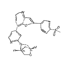 CS(=O)(=O)c1ccc(-c2cc3nccc(-c4ccnc(N5C[C@H]6C[C@@H]5CO6)c4)c3o2)cc1